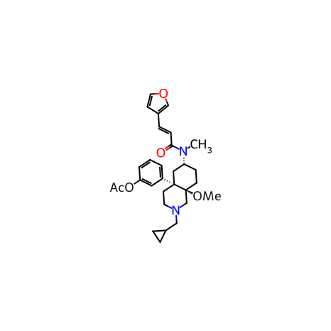 CO[C@]12CC[C@@H](N(C)C(=O)/C=C/c3ccoc3)C[C@]1(c1cccc(OC(C)=O)c1)CCN(CC1CC1)C2